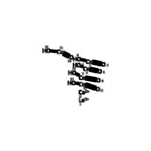 [Ca+2].[La+3].[O]=[Co-][OH].[O]=[Co-][OH].[O]=[Co-][OH].[O]=[Co-][OH].[O]=[Co-][OH]